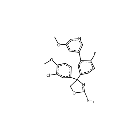 COc1cncc(-c2cc(C3(c4ccc(OC)c(Cl)c4)COC(N)=N3)ccc2F)c1